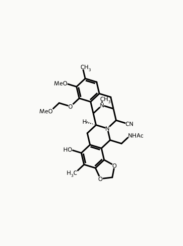 COCOc1c(OC)c(C)cc2c1C1[C@@H]3Cc4c(O)c(C)c5c(c4C(CNC(C)=O)N3C(C#N)C(C2)N1C)OCO5